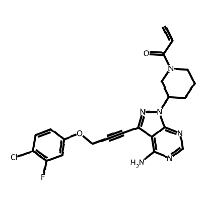 C=CC(=O)N1CCCC(n2nc(C#CCOc3ccc(Cl)c(F)c3)c3c(N)ncnc32)C1